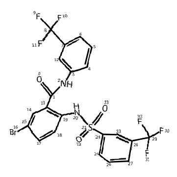 O=C(Nc1cccc(C(F)(F)F)c1)c1cc(Br)ccc1NS(=O)(=O)c1cccc(C(F)(F)F)c1